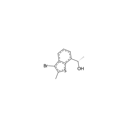 Cc1sc2c([C@H](C)O)cccc2c1Br